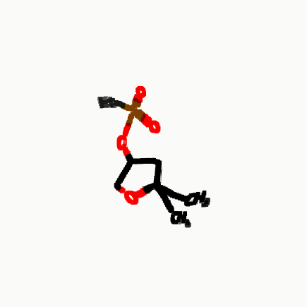 CCS(=O)(=O)OC1COC(C)(C)C1